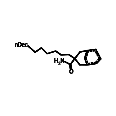 CCCCCCCCCCCCCCCCC1(C(N)=O)Cc2cccc(c2)C1